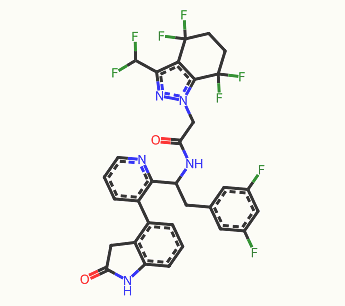 O=C1Cc2c(cccc2-c2cccnc2C(Cc2cc(F)cc(F)c2)NC(=O)Cn2nc(C(F)F)c3c2C(F)(F)CCC3(F)F)N1